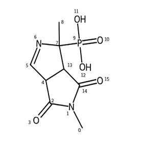 CN1C(=O)C2C=NC(C)(P(=O)(O)O)C2C1=O